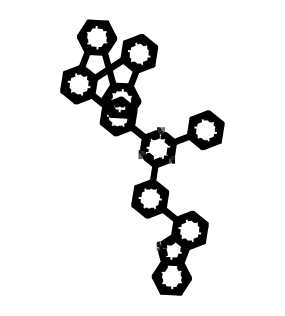 c1ccc(-c2nc(-c3ccc(-c4cccc5c4C4(c6ccccc6-c6ccccc64)c4ccccc4-5)cc3)nc(-c3cccc(-c4cccc5c4sc4ccccc45)c3)n2)cc1